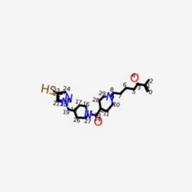 C=C(C)C(=O)CCCCN1CCC(C(=O)N2CCC(Cn3cc(S)cn3)CC2)CC1